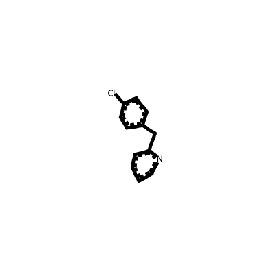 Clc1ccc(Cc2ccccn2)cc1